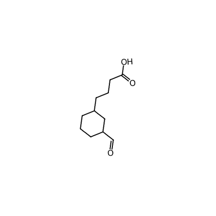 O=CC1CCCC(CCCC(=O)O)C1